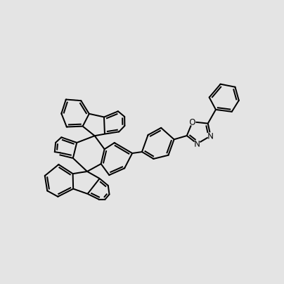 c1ccc(-c2nnc(-c3ccc(-c4ccc5c(c4)C4(c6ccccc6-c6ccccc64)c4ccccc4C54c5ccccc5-c5ccccc54)cc3)o2)cc1